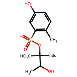 CCCCC(OS(=O)(=O)c1cc(O)ccc1C)(C(=O)O)C(C)O